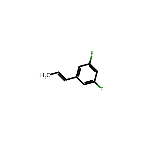 [CH2]/C=C/c1cc(F)cc(F)c1